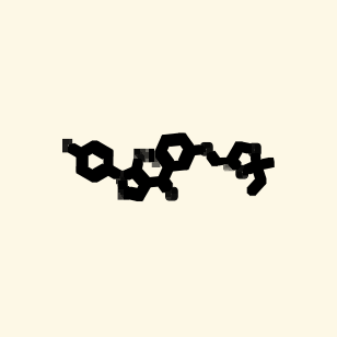 CCC1(C)OC[C@H](COc2cccc(C(=O)c3cnn(-c4ccc(F)cc4)c3N)c2)O1